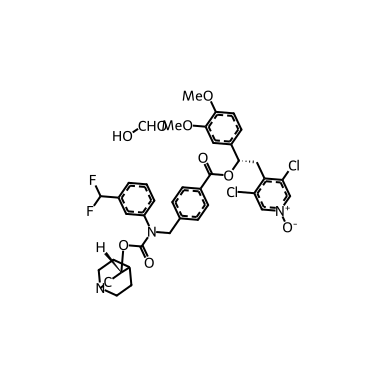 COc1ccc([C@H](Cc2c(Cl)c[n+]([O-])cc2Cl)OC(=O)c2ccc(CN(C(=O)O[C@H]3CN4CCC3CC4)c3cccc(C(F)F)c3)cc2)cc1OC.O=CO